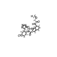 COCC(=O)Nc1cccc2cc(C(=O)Nc3ccc(Cl)cc3-c3nnn[nH]3)[nH]c12